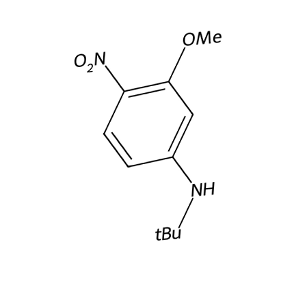 COc1cc(NC(C)(C)C)ccc1[N+](=O)[O-]